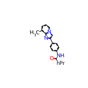 CCCC(=O)Nc1ccc(-c2cn3cccc(C)c3n2)cc1